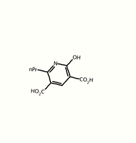 CCCc1nc(O)c(C(=O)O)cc1C(=O)O